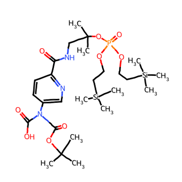 CC(C)(C)OC(=O)N(C(=O)O)c1ccc(C(=O)NCC(C)(C)OP(=O)(OCC[Si](C)(C)C)OCC[Si](C)(C)C)nc1